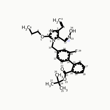 C=Cc1nc(OCCC)n(Cc2ccc(-c3ccccc3C(=O)OC(C)(C)C)c(F)c2)c1/C=N\O